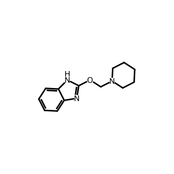 c1ccc2[nH]c(OCN3CCCCC3)nc2c1